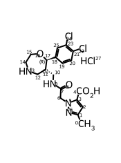 Cc1cc(C(=O)O)n(CC(=O)NC[C@@H]2CNCCO[C@H]2c2ccc(Cl)c(Cl)c2)n1.Cl